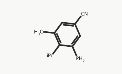 Cc1cc(C#N)cc(P)c1C(C)C